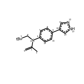 C=C(C)N(CC(C)(C)C)c1ccc(-c2cn[nH]c2)cc1